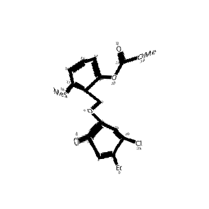 CCc1cc(Cl)c(OCc2c(OC(=O)OC)cccc2SC)cc1Cl